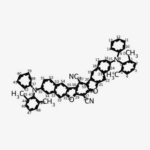 Cc1cccc(C)c1N(c1ccccc1)c1ccc2cc3c(cc2c1)oc1c(C#N)c2oc4cc5cc(N(c6ccccc6)c6c(C)cccc6C)ccc5cc4c2c(C#N)c13